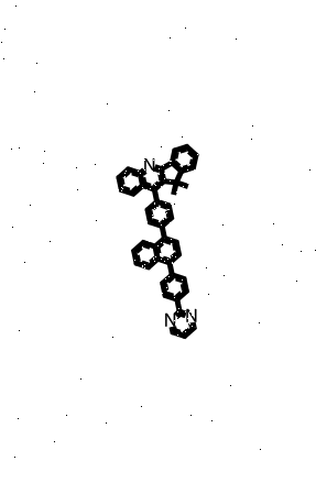 CC1(C)c2ccccc2-c2nc3ccccc3c(-c3ccc(-c4ccc(-c5ccc(-c6ncccn6)cc5)c5ccccc45)cc3)c21